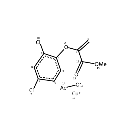 C=C(Oc1ccc(Cl)cc1Cl)C(=O)OC.CC(=O)[O-].[Cu+]